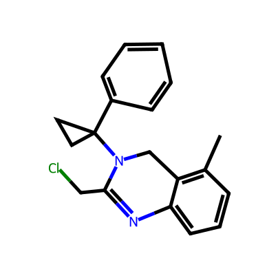 Cc1cccc2c1CN(C1(c3ccccc3)CC1)C(CCl)=N2